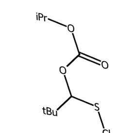 CC(C)OC(=O)OC(SCl)C(C)(C)C